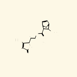 O=C1O[C@H]([C@@H](O)COC(=O)C2C3C=CC(C3)C2C(=O)O)C(O)=C1O.[Zr]